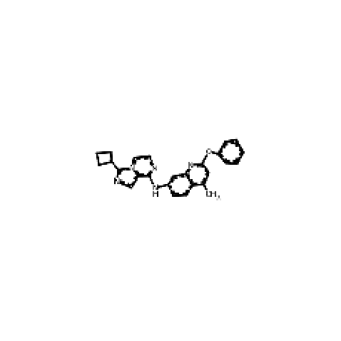 Cc1cc(Oc2ccccc2)nc2cc(Nc3nccn4c(C5CCC5)ncc34)ccc12